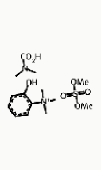 CN(C)C(=O)O.COS(=O)(=O)OC.C[N+](C)(C)c1ccccc1O